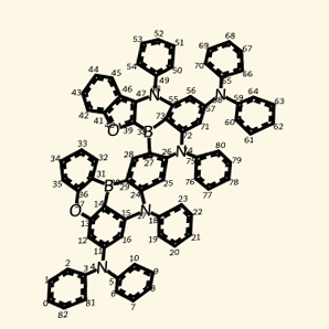 c1ccc(N(c2ccccc2)c2cc3c4c(c2)N(c2ccccc2)c2cc5c(cc2B4c2ccccc2O3)B2c3oc4ccccc4c3N(c3ccccc3)c3cc(N(c4ccccc4)c4ccccc4)cc(c32)N5c2ccccc2)cc1